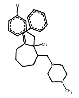 CN1CCN(CC2CCCCC(=Cc3ccccc3)C2(O)Cc2cccc(Cl)c2)CC1